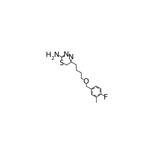 Cc1cc(COCCCCC2=NN=C(N)SC2)ccc1F